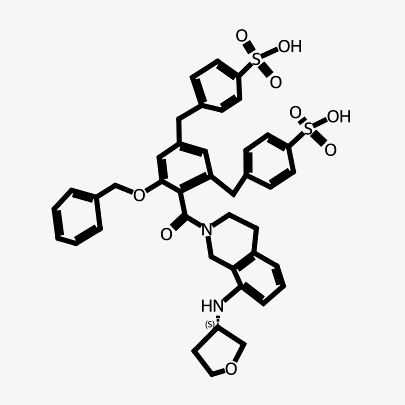 O=C(c1c(Cc2ccc(S(=O)(=O)O)cc2)cc(Cc2ccc(S(=O)(=O)O)cc2)cc1OCc1ccccc1)N1CCc2cccc(N[C@H]3CCOC3)c2C1